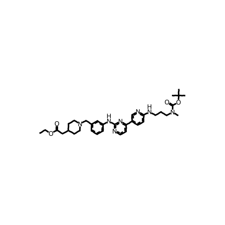 CCOC(=O)CC1CCN(Cc2cccc(Nc3nccc(-c4ccc(NCCCN(C)C(=O)OC(C)(C)C)nc4)n3)c2)CC1